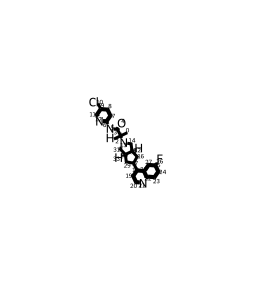 CC(C)(C(=O)Nc1ccc(Cl)cn1)N1C[C@H]2CC(c3ccnc4ccc(F)cc34)C[C@H]2C1